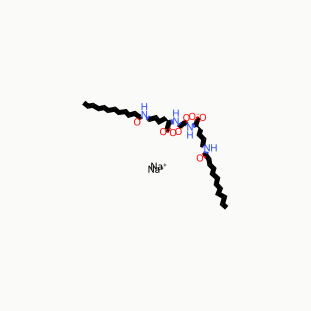 CCCCCCCCCCCC(=O)NCCCC[C@@H](NC(=O)C(=O)N[C@H](CCCCNC(=O)CCCCCCCCCCC)C(=O)[O-])C(=O)[O-].[Na+].[Na+]